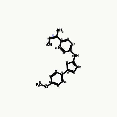 N/C(=N/O)c1cnc(Nc2ncc(-c3ccc(OC(F)(F)F)cc3)o2)cn1